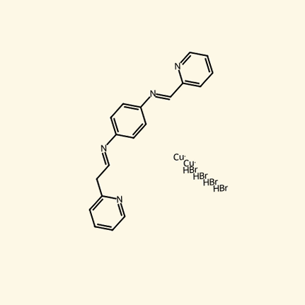 Br.Br.Br.Br.C(Cc1ccccn1)=Nc1ccc(N=Cc2ccccn2)cc1.[Cu].[Cu]